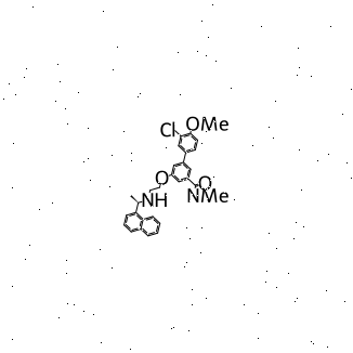 CNC(=O)c1cc(OCCN[C@H](C)c2cccc3ccccc23)cc(-c2ccc(OC)c(Cl)c2)c1